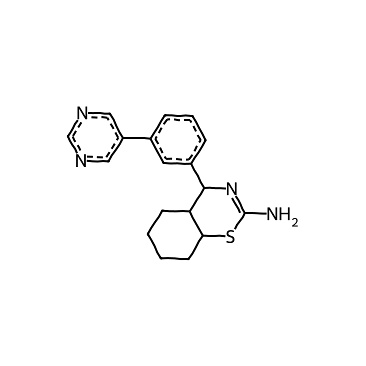 NC1=NC(c2cccc(-c3cncnc3)c2)C2CCCCC2S1